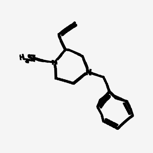 C=CC1CN(Cc2ccccc2)CCN1[SiH3]